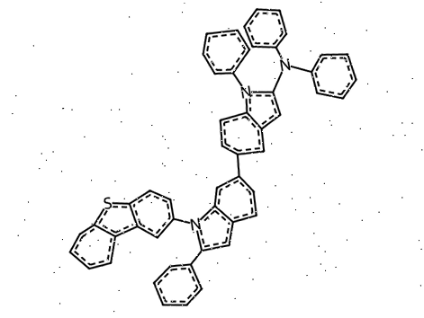 c1ccc(-c2cc3ccc(-c4ccc5c(c4)cc(N(c4ccccc4)c4ccccc4)n5-c4ccccc4)cc3n2-c2ccc3sc4ccccc4c3c2)cc1